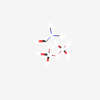 CN(C)C=O.[O]=[Cr](=[O])([OH])[O][Cr](=[O])(=[O])[OH]